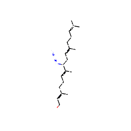 CC(C)=CCC/C(C)=C/CC(N=[N+]=[N-])/C(C)=C/CC/C(C)=C/CO